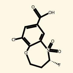 O=C(O)c1cc(Cl)c2c(c1)S(=O)(=O)[C@H](F)CCO2